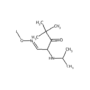 CC(C)NC(C=NOI)C(=O)C(C)(C)C